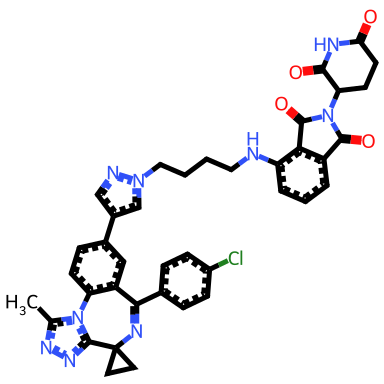 Cc1nnc2n1-c1ccc(-c3cnn(CCCCNc4cccc5c4C(=O)N(C4CCC(=O)NC4=O)C5=O)c3)cc1C(c1ccc(Cl)cc1)=NC21CC1